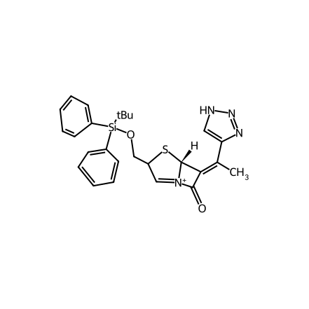 CC(=C1C(=O)[N+]2=CC(CO[Si](c3ccccc3)(c3ccccc3)C(C)(C)C)S[C@H]12)c1c[nH]nn1